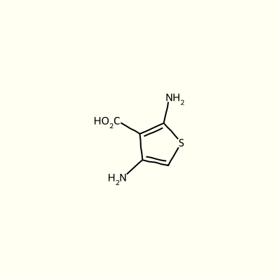 Nc1csc(N)c1C(=O)O